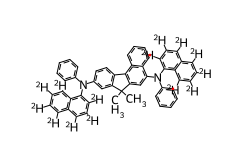 [2H]c1c([2H])c([2H])c2c(N(c3ccccc3)c3ccc4c(c3)C(C)(C)c3cc(N(c5ccccc5)c5c([2H])c([2H])c([2H])c6c([2H])c([2H])c([2H])c([2H])c56)c5ccccc5c3-4)c([2H])c([2H])c([2H])c2c1[2H]